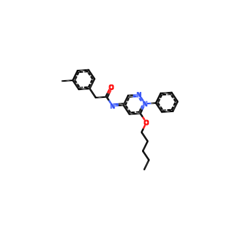 CCCCCOc1c/c(=N/C(=O)Cc2cccc(C)c2)cnn1-c1ccccc1